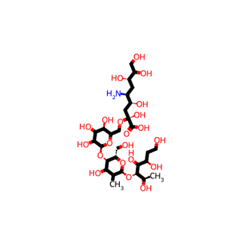 CC1C(O)[C@H](O[C@@H]2OC(CO[C@@](O)(C[C@@H](O)[C@@H](N)C[C@H](O)C(O)CO)C(=O)O)[C@H](O)C(O)C2O)[C@H](CO)O[C@H]1O[C@H](C(O)[C@H](O)CCO)[C@@H](C)O